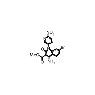 COC(=O)c1c(N)c2ccc(Br)cc2n(-c2ccc([N+](=O)[O-])nc2)c1=O